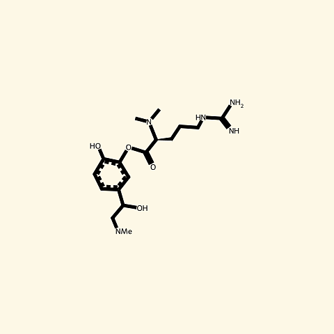 CNCC(O)c1ccc(O)c(OC(=O)[C@H](CCCNC(=N)N)N(C)C)c1